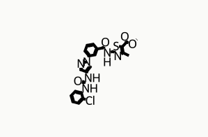 COC(=O)c1sc(NC(=O)c2cccc(-n3cc(NC(=O)Nc4ccccc4Cl)cn3)c2)nc1C